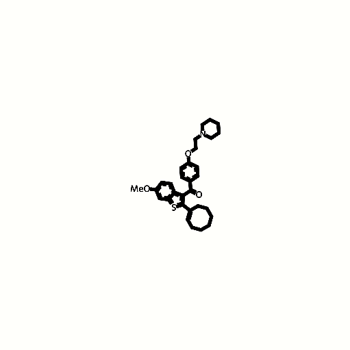 COc1ccc2c(C(=O)c3ccc(OCCN4CCCCC4)cc3)c(C3=CCCCCCC3)sc2c1